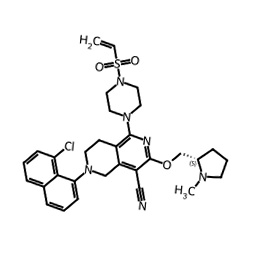 C=CS(=O)(=O)N1CCN(c2nc(OC[C@@H]3CCCN3C)c(C#N)c3c2CCN(c2cccc4cccc(Cl)c24)C3)CC1